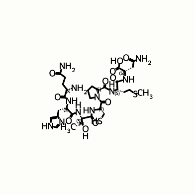 CSCC[C@H](NC(=O)[C@@H]1CCCN1C(=O)[C@H](CS)NC(=O)[C@@H](NC(=O)[C@H](Cc1c[nH]cn1)NC(=O)[C@@H](N)CCC(N)=O)[C@@H](C)O)C(=O)N[C@@H](CC(N)=O)C(=O)O